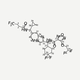 O=C(CCC(F)(F)F)NC(c1cnn2cc([C@@H](NC(=O)c3nonc3OCC(F)F)C3CCC(F)(F)CC3)nc2c1)C1CC1